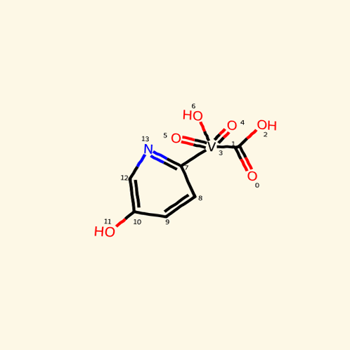 O=[C](O)[V](=[O])(=[O])([OH])[c]1ccc(O)cn1